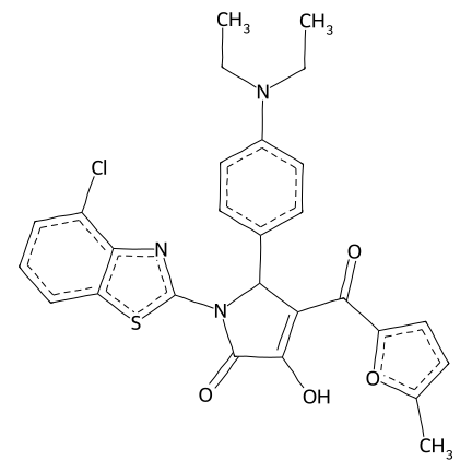 CCN(CC)c1ccc(C2C(C(=O)c3ccc(C)o3)=C(O)C(=O)N2c2nc3c(Cl)cccc3s2)cc1